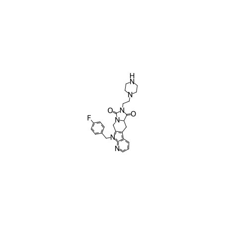 O=C1C2Cc3c(n(Cc4ccc(F)cc4)c4ncccc34)CN2C(=O)N1CCN1CCNCC1